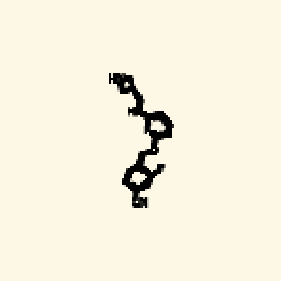 N#Cc1ccc(COc2cccc(NCC3CNC3)n2)c(F)c1